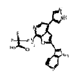 Nc1ncc(-c2cn[nH]c2)c2cc(-c3c[nH]c4cnccc34)oc12.O=C(O)C(F)(F)F